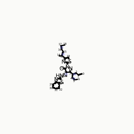 C=C/C=C(\C=C/C)C1=NN(c2nc(/C(C)=C/C=C\C)cs2)C(=O)/C1=N\Nc1nc2ccccc2s1